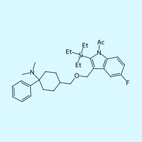 CC[Si](CC)(CC)c1c(COCC2CCC(c3ccccc3)(N(C)C)CC2)c2cc(F)ccc2n1C(C)=O